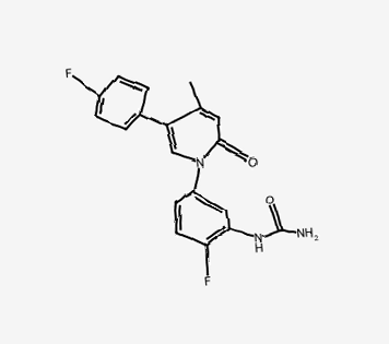 Cc1cc(=O)n(-c2ccc(F)c(NC(N)=O)c2)cc1-c1ccc(F)cc1